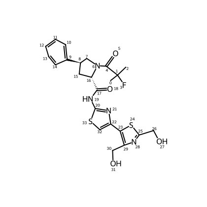 CC(C)(F)C(=O)N1C[C@H](c2ccccc2)C[C@H]1C(=O)Nc1nc(-c2sc(CO)nc2CO)cs1